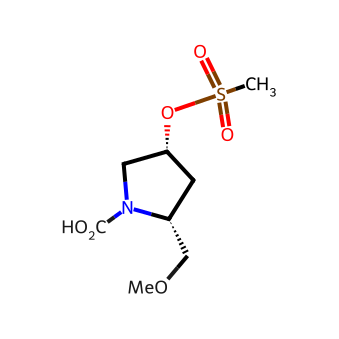 COC[C@H]1C[C@@H](OS(C)(=O)=O)CN1C(=O)O